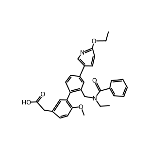 CCOc1ccc(-c2ccc(-c3cc(CC(=O)O)ccc3OC)c(CN(CC)C(=O)c3ccccc3)c2)cn1